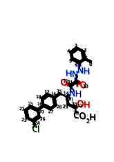 Cc1ccccc1NNC(=O)C(=O)N[C@H](Cc1ccc(-c2cccc(Cl)c2)cc1)C[C@@H](O)C(=O)O